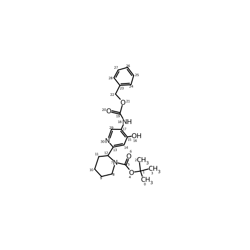 CC(C)(C)OC(=O)N1CCCCC1c1cc(O)c(NC(=O)OCc2ccccc2)cn1